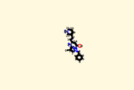 Cc1cn(Cc2ccccc2)n2c(=O)cc(/C=C/c3cccnc3)nc12